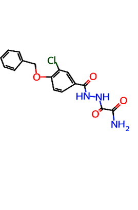 NC(=O)C(=O)NNC(=O)c1ccc(OCc2ccccc2)c(Cl)c1